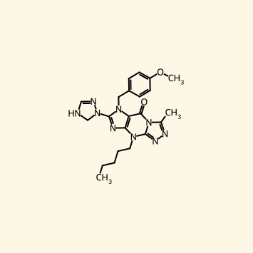 CCCCCn1c2nc(N3CNC=N3)n(Cc3ccc(OC)cc3)c2c(=O)n2c(C)nnc12